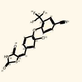 N#Cc1ccc(Oc2ccc(C=C3SC(=O)NC3=O)cc2Cl)c(C(F)(F)F)c1